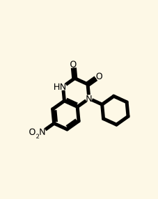 O=c1[nH]c2cc([N+](=O)[O-])ccc2n(C2CCCCC2)c1=O